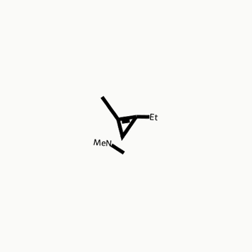 CCC1=C(C)C1.CNC